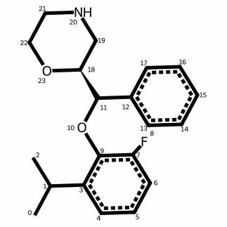 CC(C)c1cccc(F)c1OC(c1ccccc1)[C@@H]1CNCCO1